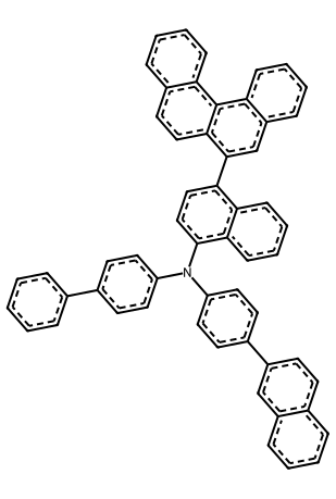 c1ccc(-c2ccc(N(c3ccc(-c4ccc5ccccc5c4)cc3)c3ccc(-c4cc5ccccc5c5c4ccc4ccccc45)c4ccccc34)cc2)cc1